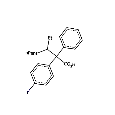 CCCCCC(CC)C(C(=O)O)(c1ccccc1)c1ccc(I)cc1